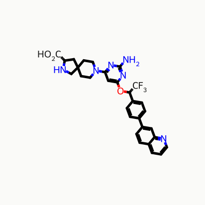 Nc1nc(OC(c2ccc(-c3ccc4cccnc4c3)cc2)C(F)(F)F)cc(N2CCC3(CC2)CNC(C(=O)O)C3)n1